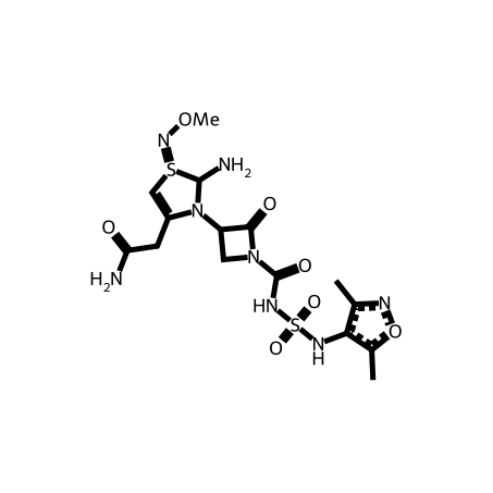 CO/N=S1/C=C(CC(N)=O)N(C2CN(C(=O)NS(=O)(=O)Nc3c(C)noc3C)C2=O)C1N